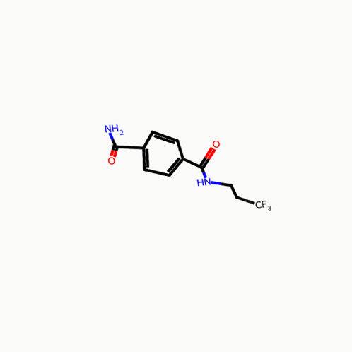 NC(=O)c1ccc(C(=O)NCCC(F)(F)F)cc1